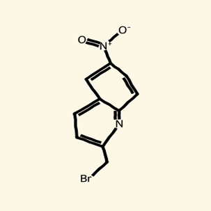 O=[N+]([O-])c1ccc2nc(CBr)ccc2c1